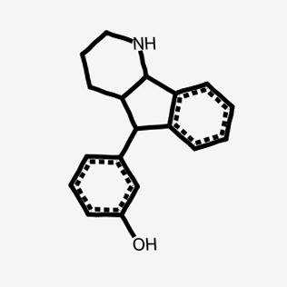 Oc1cccc(C2c3ccccc3C3NCCCC32)c1